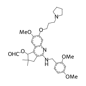 COc1ccc(CNc2nc3cc(OCCCN4CCCC4)c(OC)cc3c3c2CC(C)(C)C3OC=O)c(OC)c1